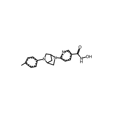 Cc1ccc(N2CC3CC2CN3c2ccc(C(=O)NO)cn2)cc1